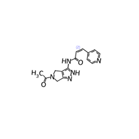 CC(=O)N1Cc2n[nH]c(NC(=O)/C=C\c3ccncc3)c2C1